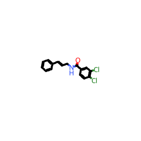 O=C(NC/C=C/c1ccccc1)c1ccc(Cl)c(Cl)c1